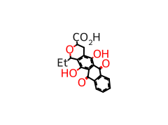 CCC1OC(C(=O)O)Cc2c(O)c3c(c(O)c21)C(=O)c1ccccc1C3=O